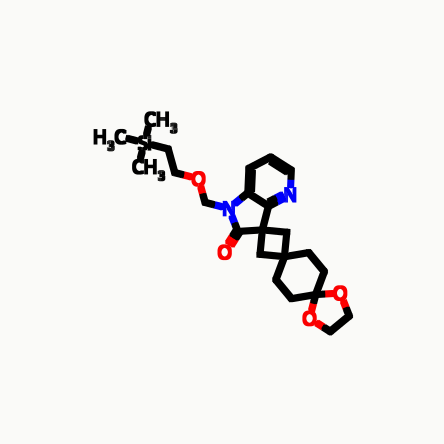 C[Si](C)(C)CCOCN1C(=O)C2(CC3(CCC4(CC3)OCCO4)C2)c2ncccc21